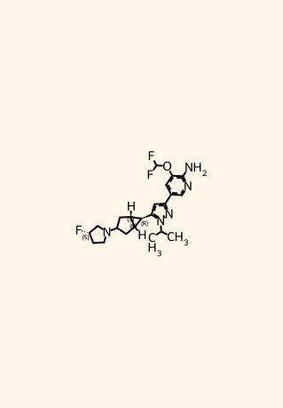 CC(C)n1nc(-c2cnc(N)c(OC(F)F)c2)cc1[C@H]1[C@@H]2CC(N3CC[C@H](F)C3)C[C@@H]21